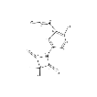 Cc1ccc(N2C(=O)C(C)(C)C2=O)cc1N=C=O